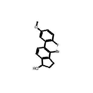 COc1ccc(F)c(-c2ccc3c(c2Br)CCC3O)c1